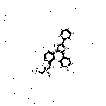 CCS(=O)(=O)Nc1cccc(-c2[nH]c(-c3ccccc3)nc2-c2ccncc2)c1